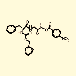 O=C(CNC(=O)[C@H](Cc1ccccc1)NC(=O)OCc1ccccc1)NOC(=O)c1ccc([N+](=O)[O-])cc1